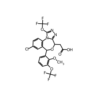 COc1c(OC(F)(F)F)cccc1C1OC(CC(=O)O)c2nnc(OC(F)(F)F)n2-c2ccc(Cl)cc21